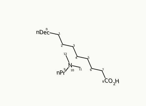 CCCCCCCCCCCCCCCCCC(=O)O.CCCN(C)C